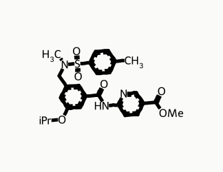 COC(=O)c1ccc(NC(=O)c2cc(CN(C)S(=O)(=O)c3ccc(C)cc3)cc(OC(C)C)c2)nc1